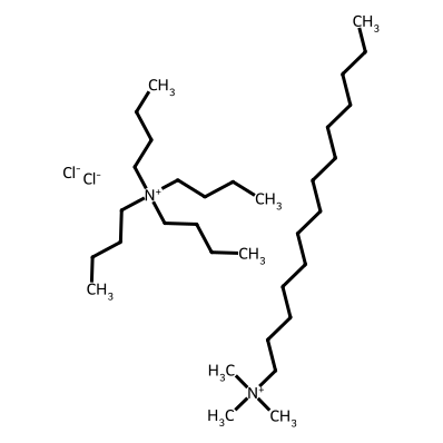 CCCCCCCCCCCCCC[N+](C)(C)C.CCCC[N+](CCCC)(CCCC)CCCC.[Cl-].[Cl-]